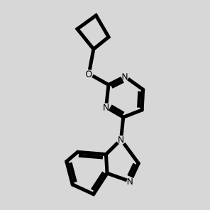 c1ccc2c(c1)ncn2-c1ccnc(OC2CCC2)n1